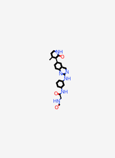 Cc1cc[nH]c(=O)c1-c1ccc2nc(Nc3cccc(NC(=O)CNC=O)c3)ncc2c1